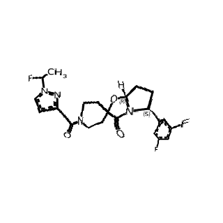 CC(F)n1ccc(C(=O)N2CCC3(CC2)O[C@@H]2CC[C@@H](c4cc(F)cc(F)c4)N2C3=O)n1